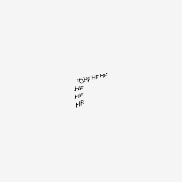 F.F.F.F.F.F.[O]